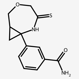 NC(=O)c1cccc(C23CC2COCC(=S)N3)c1